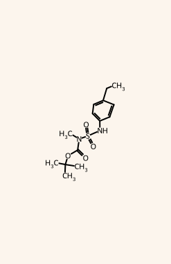 CCc1ccc(NS(=O)(=O)N(C)C(=O)OC(C)(C)C)cc1